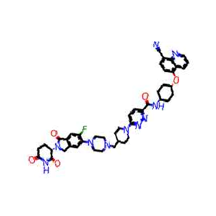 N#Cc1ccc(O[C@H]2CC[C@H](NC(=O)c3ccc(N4CCC(CN5CCN(c6cc7c(cc6F)C(=O)N([C@H]6CCC(=O)NC6=O)C7)CC5)CC4)nn3)CC2)c2cccnc12